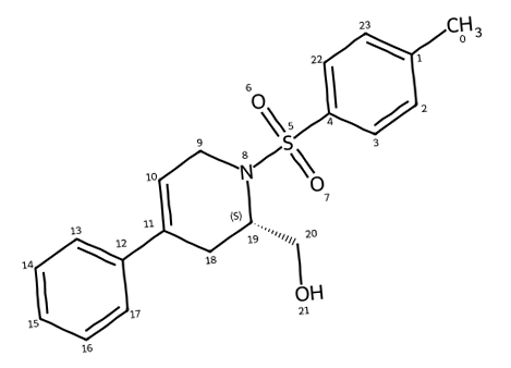 Cc1ccc(S(=O)(=O)N2CC=C(c3ccccc3)C[C@H]2CO)cc1